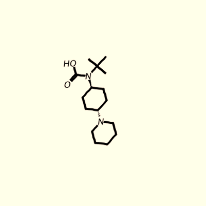 CC(C)(C)N(C(=O)O)[C@H]1CC[C@H](N2CCCCC2)CC1